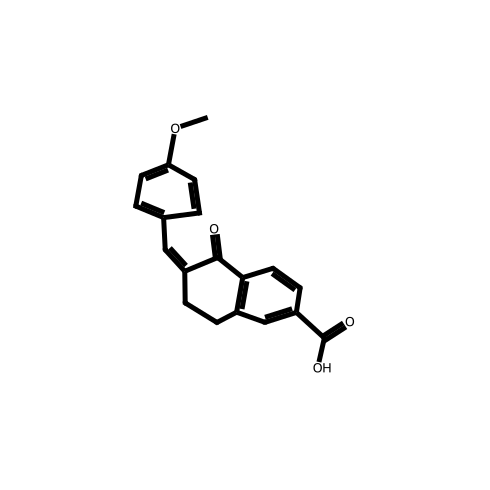 COc1ccc(C=C2CCc3cc(C(=O)O)ccc3C2=O)cc1